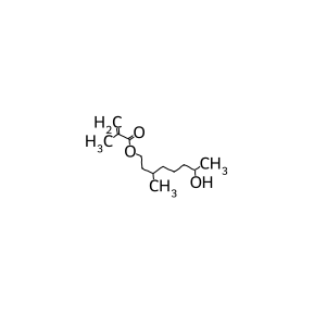 C=C(C)C(=O)OCCC(C)CCCC(C)O